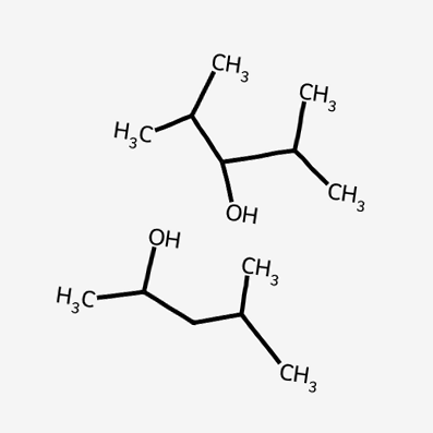 CC(C)C(O)C(C)C.CC(C)CC(C)O